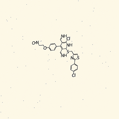 N=CC1=C(Cl)NC(SCc2csc(-c3ccc(Cl)cc3)n2)C(C=N)=C1c1ccc(OCCN=O)cc1